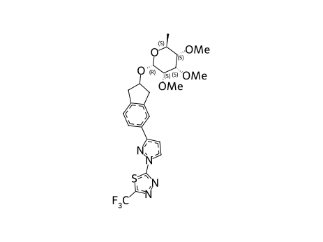 CO[C@@H]1[C@H](OC)[C@H](OC2Cc3ccc(-c4ccn(-c5nnc(C(F)(F)F)s5)n4)cc3C2)O[C@@H](C)[C@@H]1OC